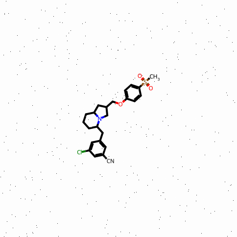 CS(=O)(=O)c1ccc(OCC2CC3CCCC(Cc4cc(Cl)cc(C#N)c4)N3C2)cc1